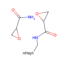 CCCCCCCCNC(=O)C1CO1.NC(=O)C1CO1